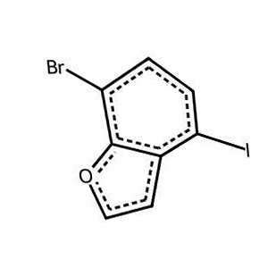 Brc1ccc(I)c2ccoc12